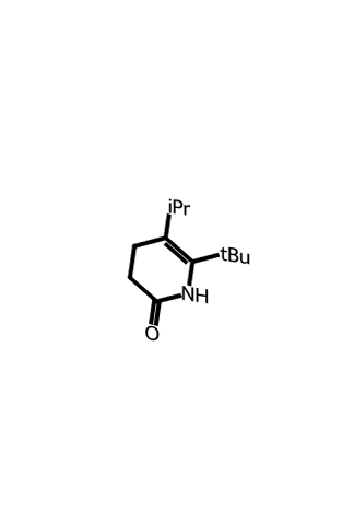 CC(C)C1=C(C(C)(C)C)NC(=O)CC1